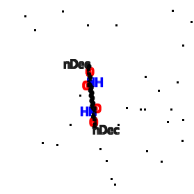 CCCCCCCCCCCCOCCCNC(=O)CCCCCCCCC(=O)NCCCOCCCCCCCCCCCC